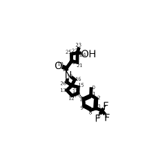 Cc1cc(C(F)(F)F)ccc1[C@@H]1CCC2(C1)CN(C(=O)C1CC(C)(O)C1)C2